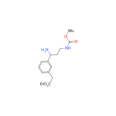 CCOC(=O)Cc1cccc(C(N)CCNC(=O)OC(C)(C)C)c1